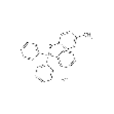 Cc1ccc(S[P+](c2ccccc2)(c2ccccc2)c2ccccc2)cc1.[Br-]